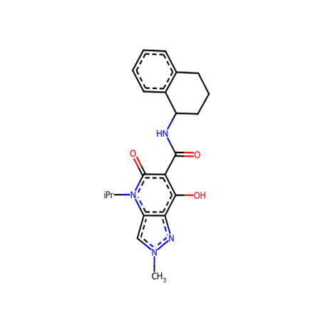 CC(C)n1c(=O)c(C(=O)NC2CCCc3ccccc32)c(O)c2nn(C)cc21